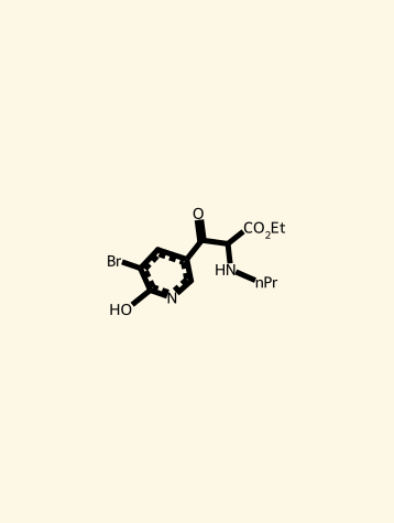 CCCNC(C(=O)OCC)C(=O)c1cnc(O)c(Br)c1